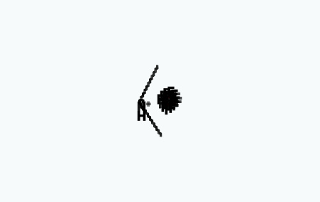 CCCCCCCCCCCCCCCCCCCc1ccc([NH+](C)CCCCCCCCCCCCCCCCCC)cc1.Fc1c(F)c(F)c([B-](c2c(F)c(F)c(F)c(F)c2F)(c2c(F)c(F)c(F)c(F)c2F)c2c(F)c(F)c(F)c(F)c2F)c(F)c1F